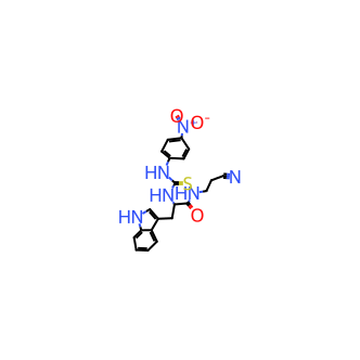 N#CCCNC(=O)C(Cc1c[nH]c2ccccc12)NC(=S)Nc1ccc([N+](=O)[O-])cc1